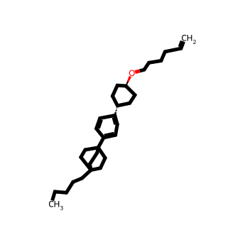 C=CCCCCO[C@H]1CC[C@H](c2ccc(C34CCC(CCCCC)(CC3)CC4)cc2)CC1